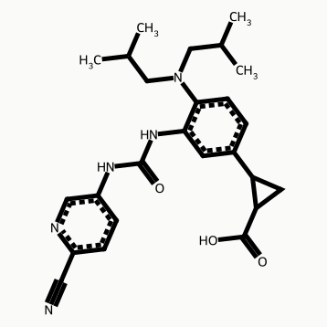 CC(C)CN(CC(C)C)c1ccc(C2CC2C(=O)O)cc1NC(=O)Nc1ccc(C#N)nc1